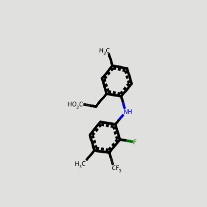 Cc1ccc(Nc2ccc(C)c(C(F)(F)F)c2F)c(CC(=O)O)c1